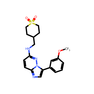 O=S1(=O)CCC(CNc2ccc3ncc(-c4cccc(OC(F)(F)F)c4)n3n2)CC1